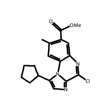 COC(=O)c1cc2nc(Cl)c3ncc(C4CCCC4)n3c2cc1C